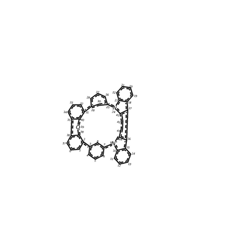 c1cc2c3cccc(c3)n3c4ccccc4c4c5c6ccccc6n(c6cccc(c6)c6cccc7c(c1)c2oc67)c5ccc43